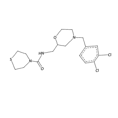 O=C(NCC1CN(Cc2ccc(Cl)c(Cl)c2)CCO1)N1CCSCC1